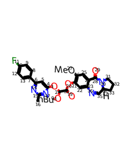 CCCCOC(Oc1cc(-c2ccc(F)cc2)nc(C)n1)C(=O)Oc1cc2c(cc1OC)C(=O)N1CCC[C@H]1C=N2